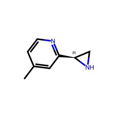 Cc1ccnc([C@H]2CN2)c1